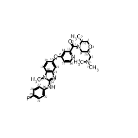 C[C@H]1CO[C@@H](CN(C)C)CN1C(=O)c1cc(Oc2ccc3c(c2)nc(Nc2ccc(F)cc2)n3C)ccn1